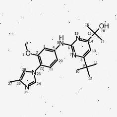 COc1cc(Nc2nc(C(C)(C)C)cc(C(C)(C)O)n2)ccc1-n1cnc(C)c1